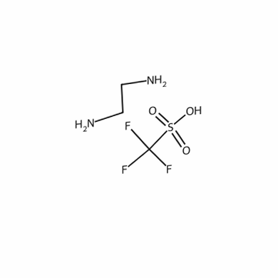 NCCN.O=S(=O)(O)C(F)(F)F